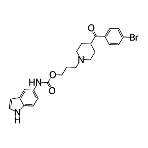 O=C(Nc1ccc2[nH]ccc2c1)OCCCN1CCC(C(=O)c2ccc(Br)cc2)CC1